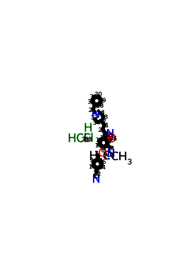 CN(C)Cc1c(OCc2ccc(C#N)cc2)ccc2c(CCC3CCN(Cc4ccccc4)CC3)noc12.Cl.Cl